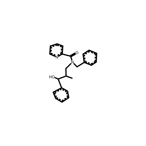 CC(CN(Cc1ccccc1)C(=O)c1ccccn1)C(O)c1ccccc1